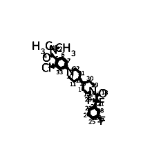 CN(C)C(=O)c1ccc(N2CCC(C3CCN(C(=O)C(F)(F)c4cccc(F)c4)CC3)CC2)cc1Cl